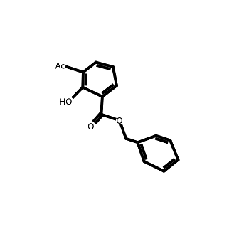 CC(=O)c1cccc(C(=O)OCc2ccccc2)c1O